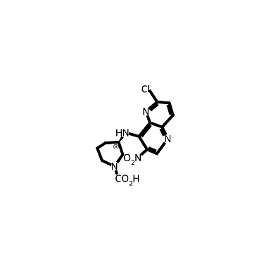 O=C(O)N1CCC[C@@H](Nc2c([N+](=O)[O-])cnc3ccc(Cl)nc23)C1